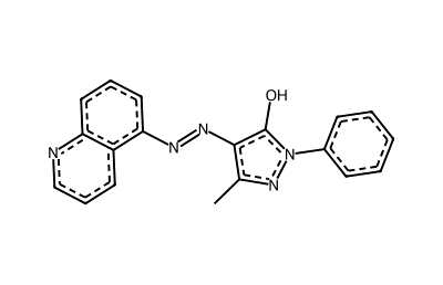 Cc1nn(-c2ccccc2)c(O)c1N=Nc1cccc2ncccc12